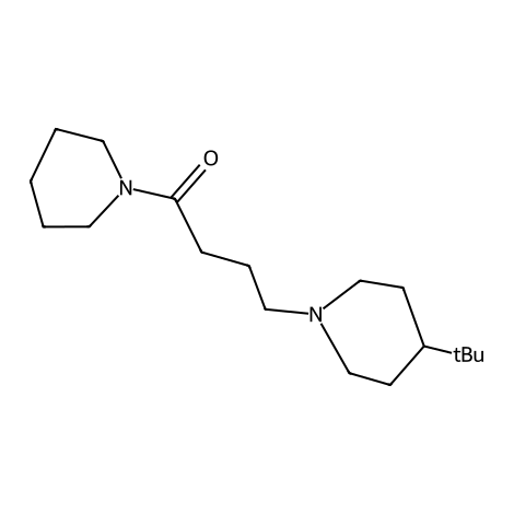 CC(C)(C)C1CCN(CCCC(=O)N2CCCCC2)CC1